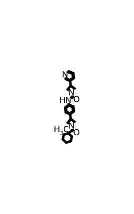 CC1(C(=O)N2CC(c3ccc(NC(=O)N4CC(c5cccnc5)C4)cc3)C2)CCCCC1